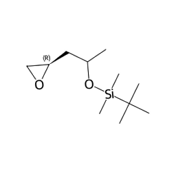 CC(C[C@@H]1CO1)O[Si](C)(C)C(C)(C)C